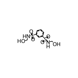 O=S(=O)(NCO)c1cccc(S(=O)(=O)NCO)c1